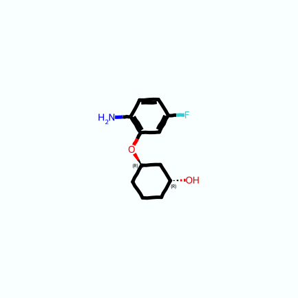 Nc1ccc(F)cc1O[C@@H]1CCC[C@@H](O)C1